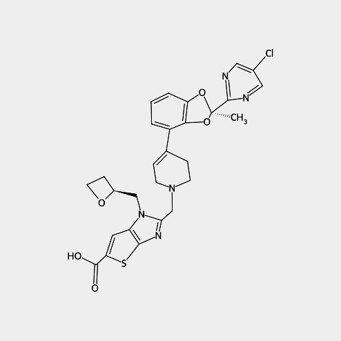 C[C@@]1(c2ncc(Cl)cn2)Oc2cccc(C3=CCN(Cc4nc5sc(C(=O)O)cc5n4C[C@@H]4CCO4)CC3)c2O1